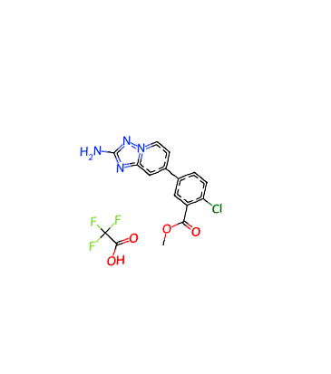 COC(=O)c1cc(-c2ccn3nc(N)nc3c2)ccc1Cl.O=C(O)C(F)(F)F